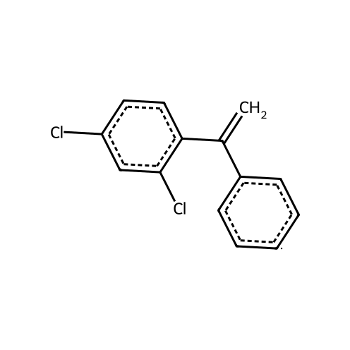 C=C(c1cc[c]cc1)c1ccc(Cl)cc1Cl